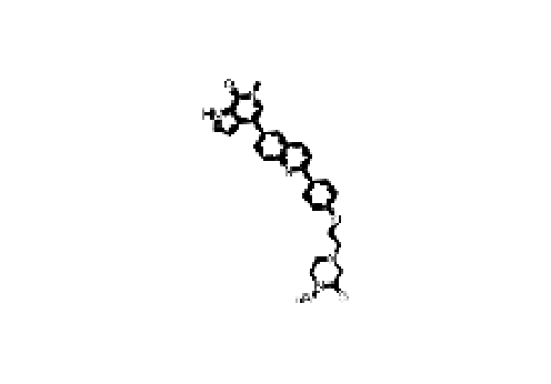 CCCN1CCN(CCOc2ccc(-c3ccc4cc(-c5cn(C)c(=O)c6[nH]ccc56)ccc4n3)cc2)CC1=O